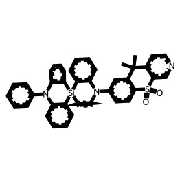 CC1(C)c2cc(N3c4ccccc4[Si]4(c5ccccc5N(c5ccccc5)c5ccccc54)c4ccccc43)ccc2S(=O)(=O)c2cnccc21